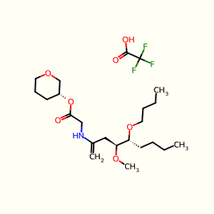 C=C(C[C@H](OC)[C@@H](CCCC)OCCCC)NCC(=O)O[C@@H]1CCCOC1.O=C(O)C(F)(F)F